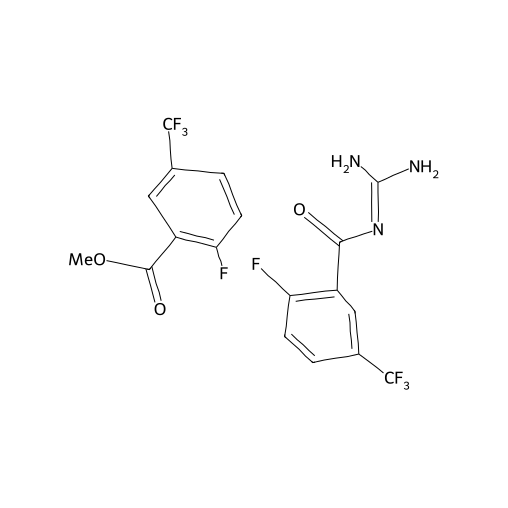 COC(=O)c1cc(C(F)(F)F)ccc1F.NC(N)=NC(=O)c1cc(C(F)(F)F)ccc1F